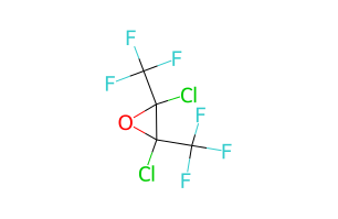 FC(F)(F)C1(Cl)OC1(Cl)C(F)(F)F